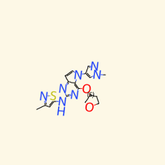 Cc1cc(Nc2nc(O[C@H]3CCOC3)c3c(ccn3-c3cnn(C)c3)n2)sn1